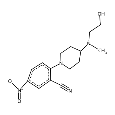 CN(CCO)C1CCN(c2ccc([N+](=O)[O-])cc2C#N)CC1